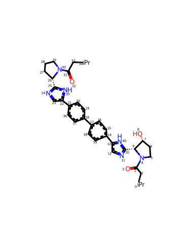 CC(C)CC(=O)N1CC[C@@H](O)[C@H]1c1ncc(-c2ccc(-c3ccc(-c4cnc([C@@H]5CCCN5C(=O)CC(C)C)[nH]4)cc3)cc2)[nH]1